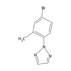 Cc1cc(Br)ccc1-n1nccn1